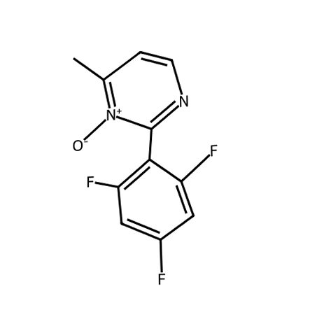 Cc1ccnc(-c2c(F)cc(F)cc2F)[n+]1[O-]